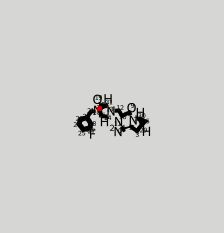 N#C[C@@H]1C[C@@H]2C[C@@H]2N1C(=O)[C@@H](N)CN1CC2C[C@H]1C(=O)N2Cc1cccc(F)c1